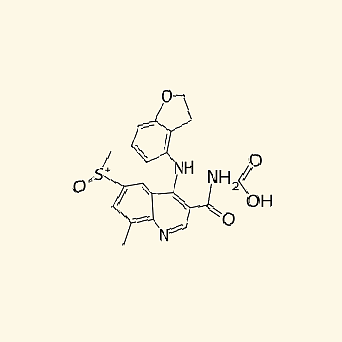 Cc1cc([S+](C)[O-])cc2c(Nc3cccc4c3CCO4)c(C(N)=O)cnc12.O=CO